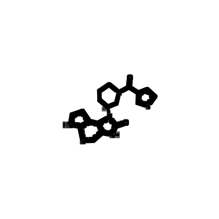 O=C(c1ccsc1)N1CCC[C@@H](n2c(=O)[nH]c3cnc4[nH]ccc4c32)C1